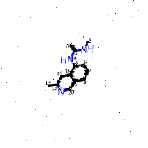 C=C(NC)Nc1cccc2cnc(C)cc12